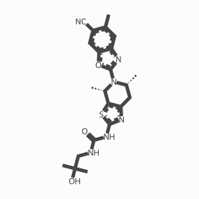 Cc1cc2nc(N3[C@H](C)Cc4nc(NC(=O)NCC(C)(C)O)sc4[C@@H]3C)oc2cc1C#N